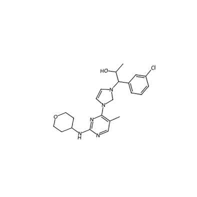 Cc1cnc(NC2CCOCC2)nc1N1C=CN(C(c2cccc(Cl)c2)C(C)O)C1